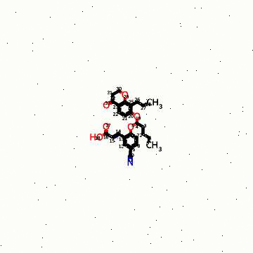 CCCCC(Oc1ccc(C#N)cc1/C=C/C(=O)O)Oc1ccc2c(c1CCC)OCCC2=O